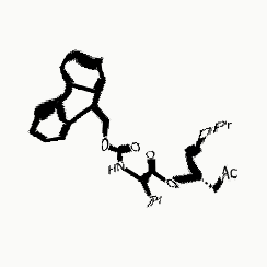 CCC/C=C/[C@H](CC(C)=O)OC(=O)C(NC(=O)OCC1c2ccccc2-c2ccccc21)C(C)C